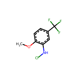 COc1ccc(C(F)(F)F)cc1NCl